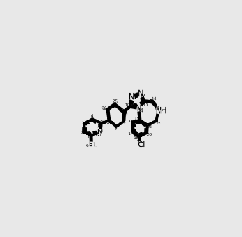 CCc1cccc(C2CCC(c3nnc4n3-c3ccc(Cl)cc3CNC4)CC2)n1